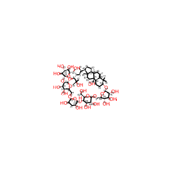 C[C@H](CC[C@@H](O[C@@H]1OC(CO[C@H]2OC[C@@H](O)C[C@H]2O)[C@@H](O)[C@H](O)[C@H]1O[C@H]1O[C@@H](CO)[C@H](O)[C@@H](O)[C@@H]1O)C(C)(C)O)C1CC[C@@]2(C)C3CC=C4C(CC[C@H](O[C@@H]5O[C@H](CO[C@@H]6O[C@H](CO)[C@@H](O)[C@H](O)[C@H]6O)[C@@H](O)[C@H](O)[C@H]5O)C4(C)C)[C@]3(C)[C@H](O)C[C@]12C